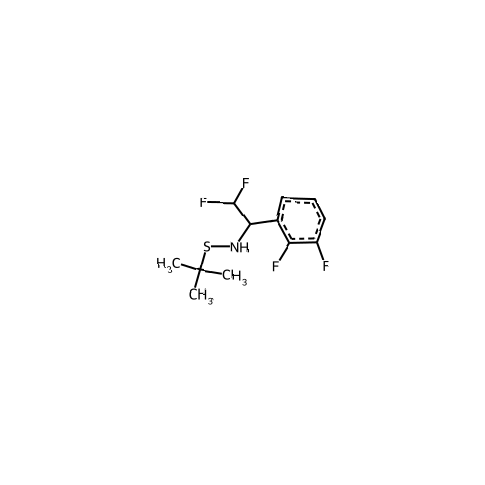 CC(C)(C)SNC(c1cccc(F)c1F)C(F)F